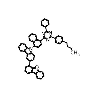 CCCCc1ccc(-c2nc(-c3ccccc3)nc(-c3ccc(-n4c5ccccc5c5cc(-c6cccc7c6oc6ccccc67)ccc54)c4ccccc34)n2)cc1